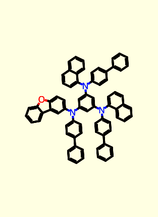 c1ccc(-c2ccc(N(c3cc(N(c4ccc(-c5ccccc5)cc4)c4cccc5ccccc45)cc(N(c4ccc(-c5ccccc5)cc4)c4cccc5ccccc45)c3)c3ccc4oc5ccccc5c4c3)cc2)cc1